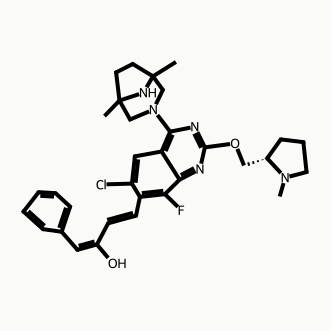 CN1CCC[C@H]1COc1nc(N2CC3(C)CCC(C)(C2)N3)c2cc(Cl)c(/C=C/C(O)=C\c3ccccc3)c(F)c2n1